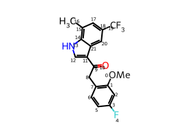 COc1cc(F)ccc1CC(=O)c1c[nH]c2c(C)cc(C(F)(F)F)cc12